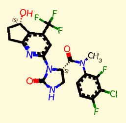 CN(C(=O)[C@@H]1CNC(=O)N1c1cc(C(F)(F)F)c2c(n1)CC[C@@H]2O)c1ccc(F)c(Cl)c1F